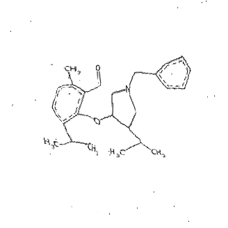 Cc1ccc(C(C)C)c(OC2CN(Cc3ccccc3)CC2C(C)C)c1C=O